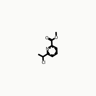 COC(=O)c1cccc(C(C)Cl)n1